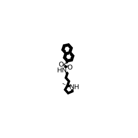 C[C@@]1(CCCNS(=O)(=O)c2ccc3ccccc3c2)CCCN1